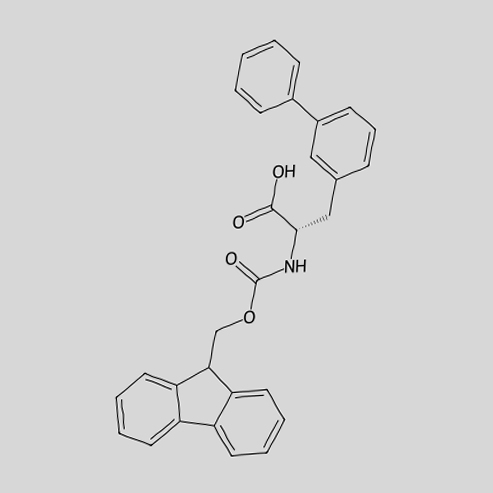 O=C(N[C@@H](Cc1cccc(-c2ccccc2)c1)C(=O)O)OCC1c2ccccc2-c2ccccc21